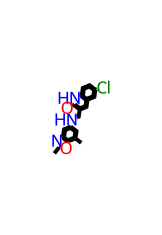 Cc1nc2cc(NCc3cc4cc(Cl)ccc4[nH]c3=O)cc(C)c2o1